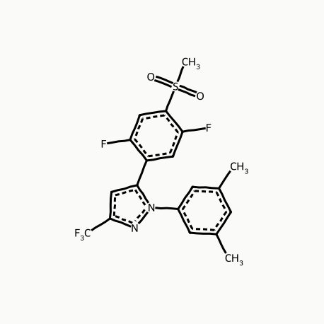 Cc1cc(C)cc(-n2nc(C(F)(F)F)cc2-c2cc(F)c(S(C)(=O)=O)cc2F)c1